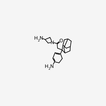 NC1=CC=C(C2(CC(=O)N3CC(N)C3)C3CC4CC(C3)CC2C4)CC1